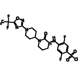 CC(F)(F)c1nc(N2CCC(N3CCC[C@H](Nc4cc(F)c(S(C)(=O)=O)cc4F)C3=O)CC2)no1